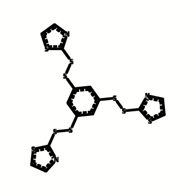 c1csc(SSc2cc(SSc3nccs3)cc(SSc3nccs3)c2)n1